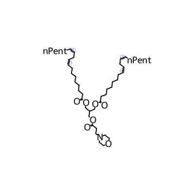 CCCCC/C=C\C/C=C\CCCCCCCC(=O)OCC(COC(=O)CCCCCCC/C=C\C/C=C\CCCCC)COC(=O)CCN1CCOCC1